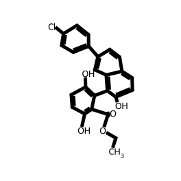 CCOC(=O)c1c(O)ccc(O)c1-c1c(O)ccc2ccc(-c3ccc(Cl)cc3)cc12